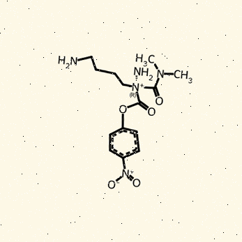 CN(C)C(=O)[N@+](N)(CCCCN)C(=O)Oc1ccc([N+](=O)[O-])cc1